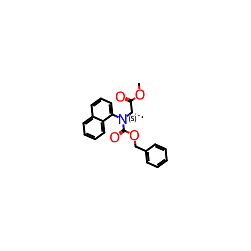 COC(=O)[C@H](C)N(C(=O)OCc1ccccc1)c1cccc2ccccc12